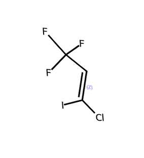 FC(F)(F)/C=C(/Cl)I